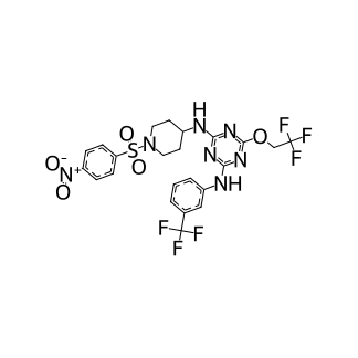 O=[N+]([O-])c1ccc(S(=O)(=O)N2CCC(Nc3nc(Nc4cccc(C(F)(F)F)c4)nc(OCC(F)(F)F)n3)CC2)cc1